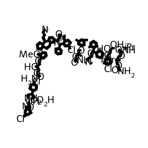 CCCC(C)(COC(N)=O)COC(=O)NC(C)C.CN(C)CCC=C1c2ccccc2C=Cc2ccccc21.CN1C(=O)CN=C(c2ccccc2)c2cc(Cl)ccc21.COc1ccccc1OCC(O)COC(N)=O.Cc1cc(C)cc(OCC2CNC(=O)O2)c1.Cc1ccccc1C(OCCN(C)C)c1ccccc1.NCC(CC(=O)O)c1ccc(Cl)cc1.OCC(O)COc1ccc(Cl)cc1.Oc1nc2cc(Cl)ccc2o1